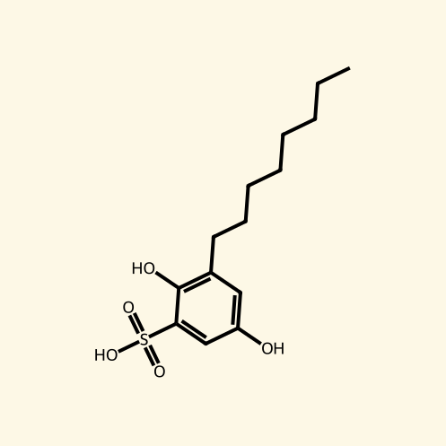 CCCCCCCCc1cc(O)cc(S(=O)(=O)O)c1O